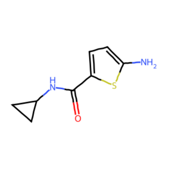 Nc1ccc(C(=O)NC2CC2)s1